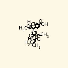 CCCN1C(=O)C(CC(C)C)NC(=O)C12CCN(C(c1ccc(C(=O)O)cc1)c1cc(C)[nH]c1C)CC2